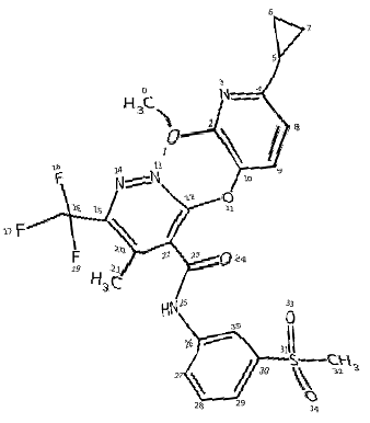 COc1nc(C2CC2)ccc1Oc1nnc(C(F)(F)F)c(C)c1C(=O)Nc1cccc(S(C)(=O)=O)c1